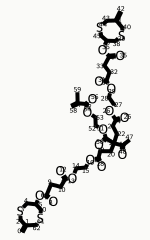 C=C1CSCC(OC(=O)CCC(=O)OCCOC(=O)CCC(CCC(=O)OCCOC(=O)CCC(=O)OC2CSCC(=C)CSC2)(C(C)=O)C(=O)OCCOC(=O)C(=C)C)CSC1